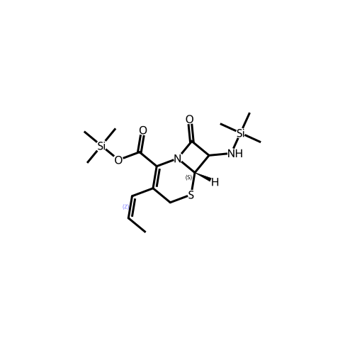 C/C=C\C1=C(C(=O)O[Si](C)(C)C)N2C(=O)C(N[Si](C)(C)C)[C@@H]2SC1